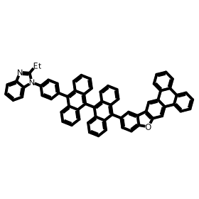 CCc1nc2ccccc2n1-c1ccc(-c2c3ccccc3c(-c3c4ccccc4c(-c4ccc5oc6cc7c8ccccc8c8ccccc8c7cc6c5c4)c4ccccc34)c3ccccc23)cc1